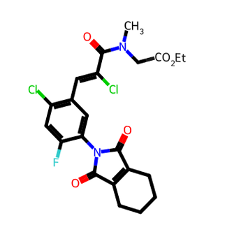 CCOC(=O)CN(C)C(=O)C(Cl)=Cc1cc(N2C(=O)C3=C(CCCC3)C2=O)c(F)cc1Cl